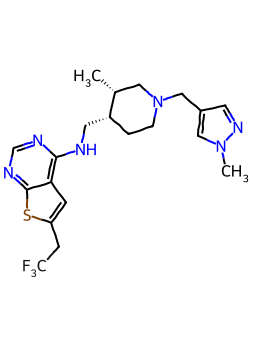 C[C@@H]1CN(Cc2cnn(C)c2)CC[C@@H]1CNc1ncnc2sc(CC(F)(F)F)cc12